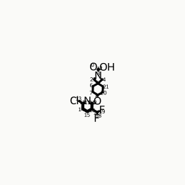 O=C(O)N1CC2(CCC(Oc3nc(Cl)ccc3C(F)F)CC2)C1